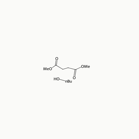 CCCCO.COC(=O)CCC(=O)OC